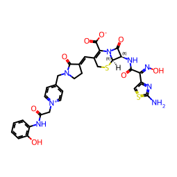 Nc1nc(C(=NO)C(=O)N[C@@H]2C(=O)N3C(C(=O)[O-])=C(C=C4CCN(Cc5cc[n+](CC(=O)Nc6ccccc6O)cc5)C4=O)CS[C@H]23)cs1